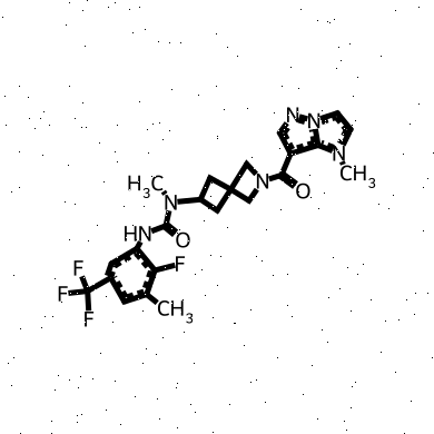 Cc1cc(C(F)(F)F)cc(NC(=O)N(C)C2CC3(C2)CN(C(=O)c2cnn4ccn(C)c24)C3)c1F